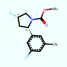 CC(C)(C)OC(=O)N1C[C@@H](F)C[C@H]1c1cc(F)cc(C#N)c1